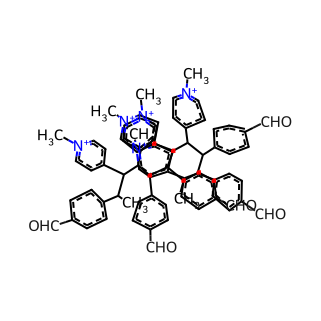 CC(c1ccc(C=O)cc1)C(c1cc[n+](C)cc1)C(c1cc[n+](C)cc1)C(c1ccc(C=O)cc1)C(c1ccc(C=O)cc1)C(c1cc[n+](C)cc1)C(c1cc[n+](C)cc1)C(c1ccc(C=O)cc1)C(c1ccc(C=O)cc1)C(C)c1cc[n+](C)cc1